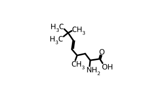 CC(/C=C/C(C)(C)C)CC(N)C(=O)O